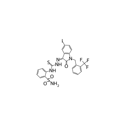 NS(=O)(=O)c1ccccc1NC(=S)NN=C1C(=O)N(Cc2ccccc2C(F)(F)F)c2ccc(I)cc21